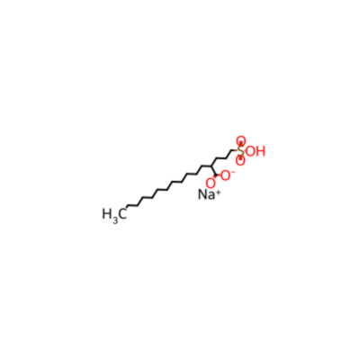 CCCCCCCCCCCCC(CCCS(=O)(=O)O)C(=O)[O-].[Na+]